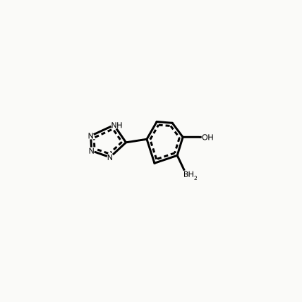 Bc1cc(-c2nnn[nH]2)ccc1O